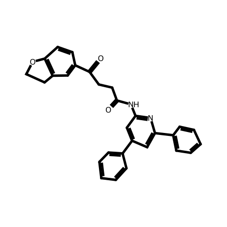 O=C(CCC(=O)c1ccc2c(c1)CCO2)Nc1cc(-c2ccccc2)cc(-c2ccccc2)n1